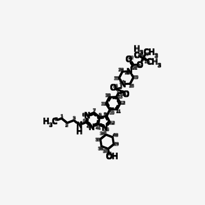 CCCCNc1ncc2c(-c3ccc(S(=O)(=O)N4CCN(C(=O)OC(C)(C)C)CC4)cc3)cn([C@H]3CC[C@H](O)CC3)c2n1